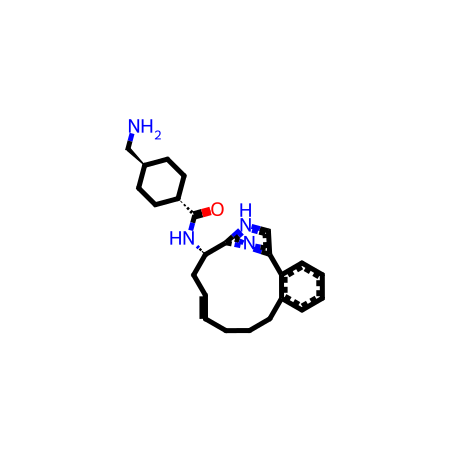 NC[C@H]1CC[C@H](C(=O)N[C@H]2C/C=C/CCCc3ccccc3-c3c[nH]c2n3)CC1